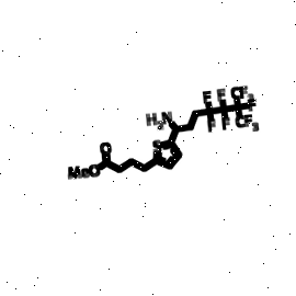 COC(=O)CCCc1ccc(C(N)CCC(F)(F)C(F)(F)C(F)(C(F)(F)F)C(F)(F)F)s1